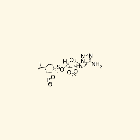 C=C(C)[C@H]1CC[C@@](C)(SOC2[C@H]3O[C@@](C)(c4ccc5c(N)ncnn45)[C@@H]4OC(C)(C)O[C@]234)[C@H](OP=O)C1